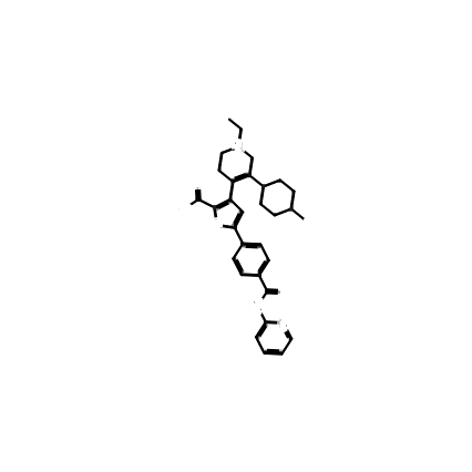 CCN1CCC(c2cc(-c3ccc(C(=O)Nc4ccccn4)cc3)sc2C(=O)O)=C(C2CCC(C)CC2)C1